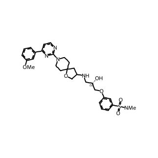 CNS(=O)(=O)c1cccc(OC[C@@H](O)CNC2COC3(CCN(c4nccc(-c5cccc(OC)c5)n4)CC3)C2)c1